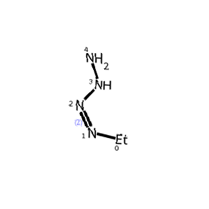 CC/N=N\NN